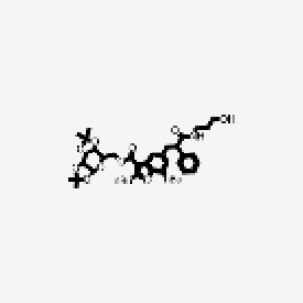 CCCCc1oc2c(CCCC)cc(CC(C(=O)NCCCO)c3ccccc3)cc2c1C(=O)OCC1OC2OC(C)(C)OC2C2OC(C)(C)OC12